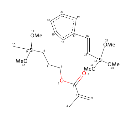 C=C(C)C(=O)OCCC[Si](C)(OC)OC.CO[Si](C=Cc1ccccc1)(OC)OC